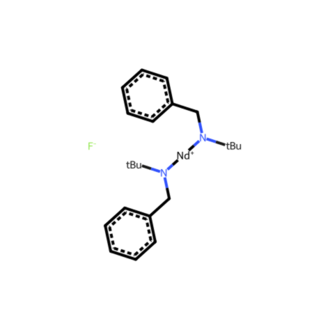 CC(C)(C)[N](Cc1ccccc1)[Nd+][N](Cc1ccccc1)C(C)(C)C.[F-]